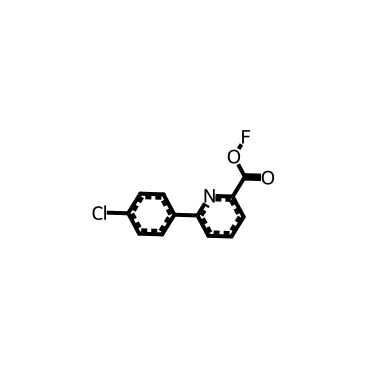 O=C(OF)c1cccc(-c2ccc(Cl)cc2)n1